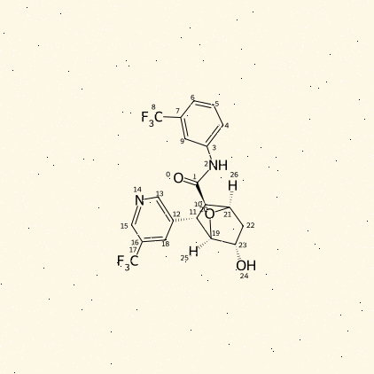 O=C(Nc1cccc(C(F)(F)F)c1)[C@@H]1[C@@H](c2cncc(C(F)(F)F)c2)[C@H]2O[C@@H]1C[C@@H]2O